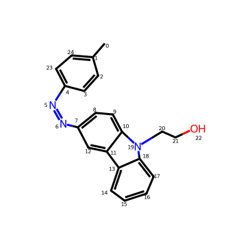 Cc1ccc(/N=N\c2ccc3c(c2)c2ccccc2n3CCO)cc1